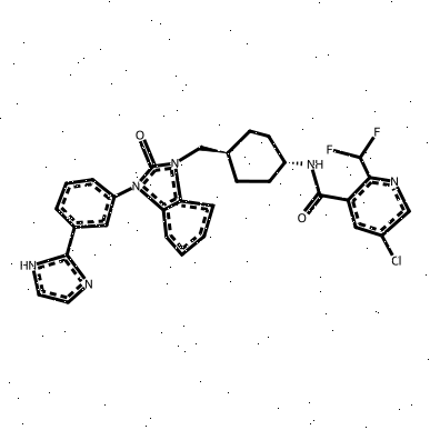 O=C(N[C@H]1CC[C@H](Cn2c(=O)n(-c3cccc(-c4ncc[nH]4)c3)c3ccccc32)CC1)c1cc(Cl)cnc1C(F)F